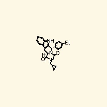 CCc1ccc([C@H]2c3[nH]c4ccccc4c3C[C@@H]3C(=O)N(CC4CC4)CC(=O)N23)cc1